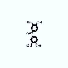 CC(C)(C)c1cc([S+]([O-])c2ccc(O)c(C(C)(C)C)c2)ccc1O